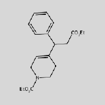 CCOC(=O)CC(C1=CCN(C(=O)OCC)CC1)c1ccccc1